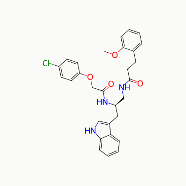 COc1ccccc1CCC(=O)NC[C@@H](Cc1c[nH]c2ccccc12)NC(=O)COc1ccc(Cl)cc1